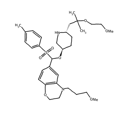 COCCCN1CCOc2ccc(C(O[C@@H]3CC[C@@H](CC(C)(C)OCCOC)NC3)S(=O)(=O)c3ccc(C)cc3)cc21